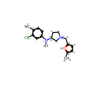 CCN(c1ccc(C#N)c(Cl)c1)[C@H]1CCN(Cc2ccc(C)o2)C1